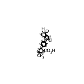 O=C(O)N1C[C@H](C(F)(F)F)OC[C@H]1c1ccc(-n2c(Cl)cc3c(=O)[nH]cnc32)cc1